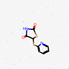 O=C1NC(=O)C(Sc2ccccn2)S1